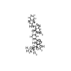 Cc1nsc(Nc2cnc3ccccc3n2)c1C(=O)Nc1cccc(C(=O)N[C@H](C(=O)O)[C@@H](C)OC(C)(C)C)c1